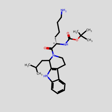 CC(C)CC1c2[nH]c3ccccc3c2CCN1C(=O)[C@H](CCCCN)NC(=O)OC(C)(C)C